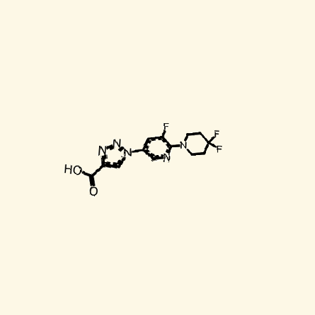 O=C(O)c1cn(-c2cnc(N3CCC(F)(F)CC3)c(F)c2)nn1